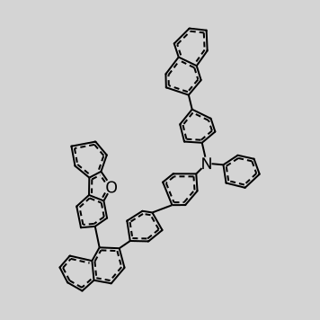 c1ccc(N(c2ccc(-c3ccc(-c4ccc5ccccc5c4-c4ccc5c(c4)oc4ccccc45)cc3)cc2)c2ccc(-c3ccc4ccccc4c3)cc2)cc1